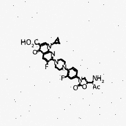 CC(=O)[C@@H](N)C1CN(c2ccc(N3CCN(c4nc5c(cc4F)c(=O)c(C(=O)O)cn5C4CC4)CC3)c(F)c2)C(=O)O1